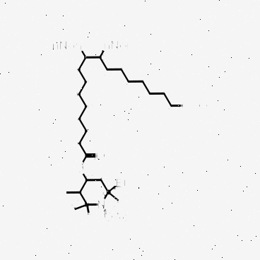 CCCCCCCCCC(CCCCCCCC=O)C(CCCCCCCCC)CCCCCCCC(=O)OC1CC(C)(CC)N(OC(C)=O)C(C)(CC)C1C